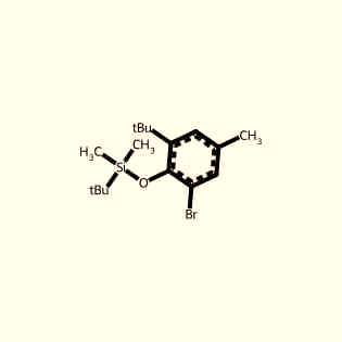 Cc1cc(Br)c(O[Si](C)(C)C(C)(C)C)c(C(C)(C)C)c1